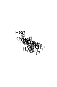 Cc1nc(Cl)c(/C=C/C(=O)O)n1Cc1ccc(N(C(=O)OC(C)(C)C)C(=O)OC(C)(C)C)cc1Cl